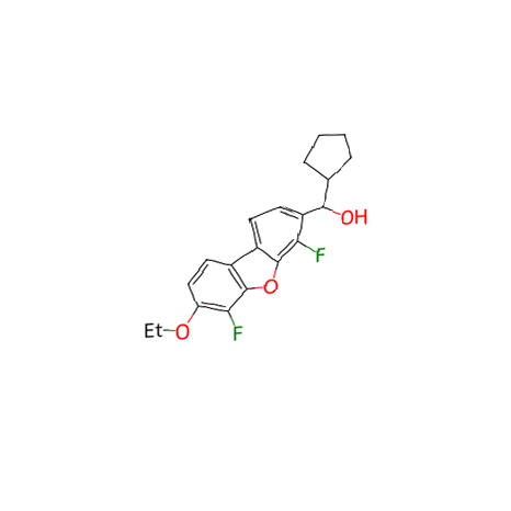 CCOc1ccc2c(oc3c(F)c(C(O)C4CCCC4)ccc32)c1F